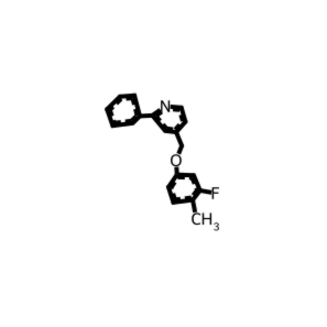 Cc1ccc(OCc2ccnc(-c3ccccc3)c2)cc1F